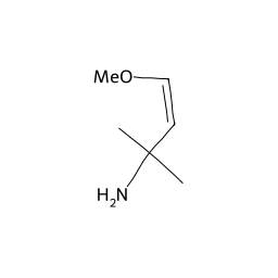 CO/C=C\C(C)(C)N